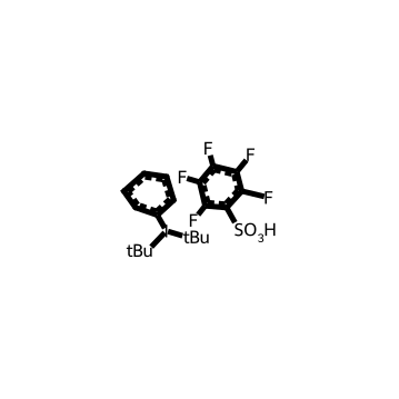 CC(C)(C)I(c1ccccc1)C(C)(C)C.O=S(=O)(O)c1c(F)c(F)c(F)c(F)c1F